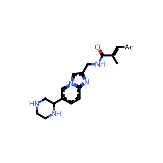 CC(=O)/C=C(\C)C(=O)NCc1cn2cc(C3CNCCN3)ccc2n1